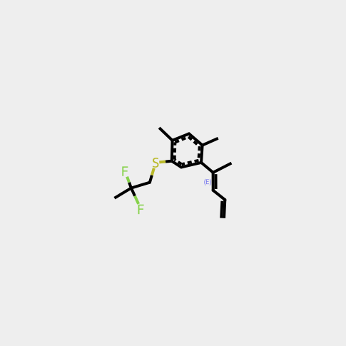 C=C/C=C(\C)c1cc(SCC(C)(F)F)c(C)cc1C